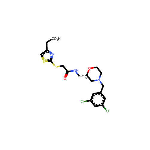 O=C(O)Cc1csc(SCC(=O)NC[C@H]2CN(Cc3cc(Cl)cc(Cl)c3)CCO2)n1